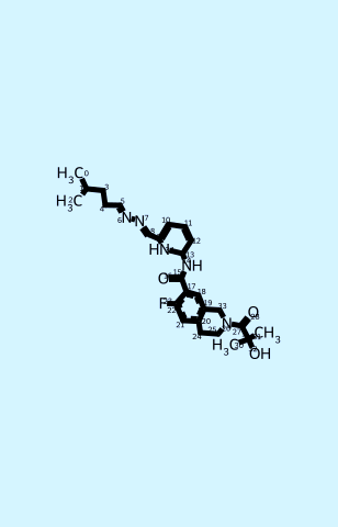 CC(C)CC/C=N/N=C/C1=CC=CC(NC(=O)c2cc3c(cc2F)CCN(C(=O)C(C)(C)O)C3)N1